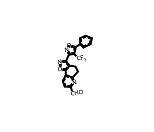 O=Cc1ccc2c(n1)CCc1c(-c3noc(-c4ccccc4)c3C(F)(F)F)noc1-2